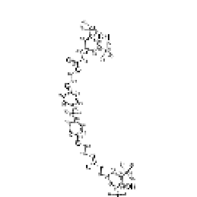 CC(C)(C)c1cc(CCC(=O)OCCOc2ccc(C(C)(C)c3ccc(OCCOC(=O)CCc4cc(C(C)(C)C)c(O)c(C(C)(C)C)c4)cc3)cc2)cc(C(C)(C)C)c1O